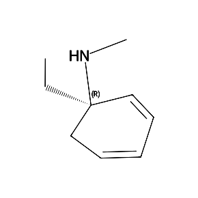 CC[C@]1(NC)C=CC=CC1